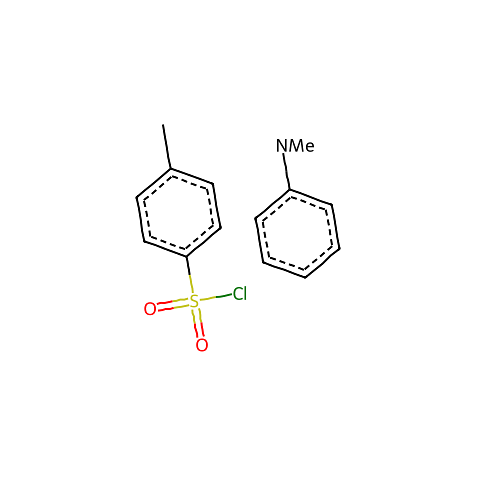 CNc1ccccc1.Cc1ccc(S(=O)(=O)Cl)cc1